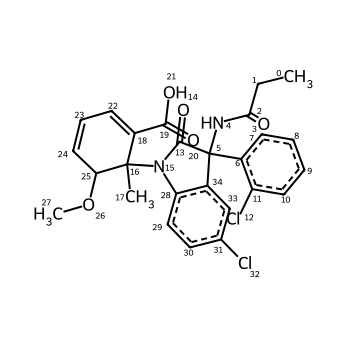 CCC(=O)NC1(c2ccccc2Cl)C(=O)N(C2(C)C(C(=O)O)=CC=CC2OC)c2ccc(Cl)cc21